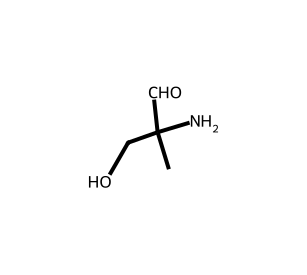 CC(N)(C=O)CO